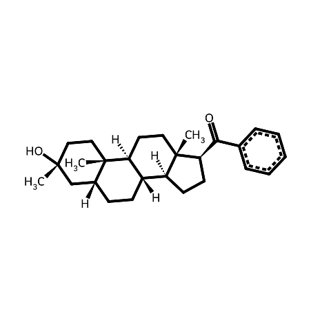 C[C@@]1(O)CC[C@@]2(C)[C@H](CC[C@@H]3[C@@H]2CC[C@]2(C)[C@@H](C(=O)c4ccccc4)CC[C@@H]32)C1